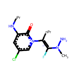 CCC/C(=C(/F)N(C)N)n1cc(Cl)cc(NC(C)C)c1=O